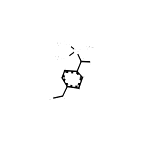 CO[Si](OC)(OC)C(C)c1ccc(CBr)cc1